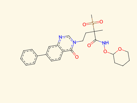 CC(CCn1cnc2cc(-c3ccccc3)ccc2c1=O)(C(=O)NOC1CCCCO1)S(C)(=O)=O